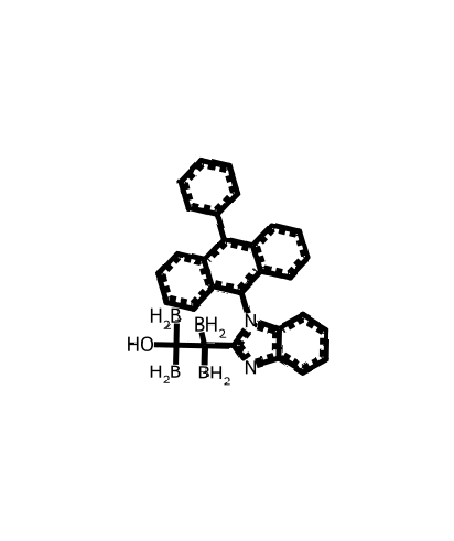 BC(B)(O)C(B)(B)c1nc2ccccc2n1-c1c2ccccc2c(-c2ccccc2)c2ccccc12